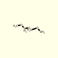 CO[SiH2]O[SiH2]O[SiH3]